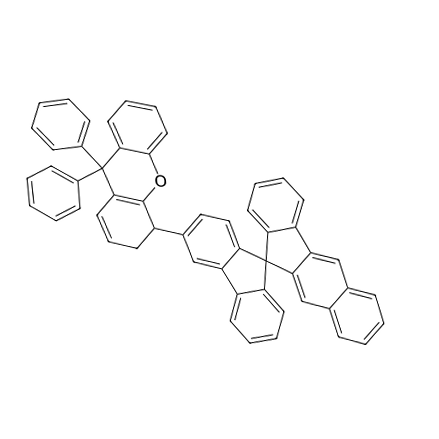 C1=CC2=C(Oc3ccccc3C2(c2ccccc2)c2ccccc2)C(c2ccc3c(c2)-c2ccccc2C32c3ccccc3-c3cc4ccccc4cc32)C1